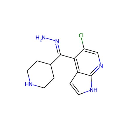 N/N=C(/c1c(Cl)cnc2[nH]ccc12)C1CCNCC1